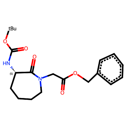 CC(C)(C)OC(=O)N[C@H]1CCCCN(CC(=O)OCc2ccccc2)C1=O